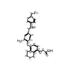 Cc1cc(CNc2ccc(CF)cc2)ccc1Sc1ccc(OCC(=O)O)c2c1CCCC2